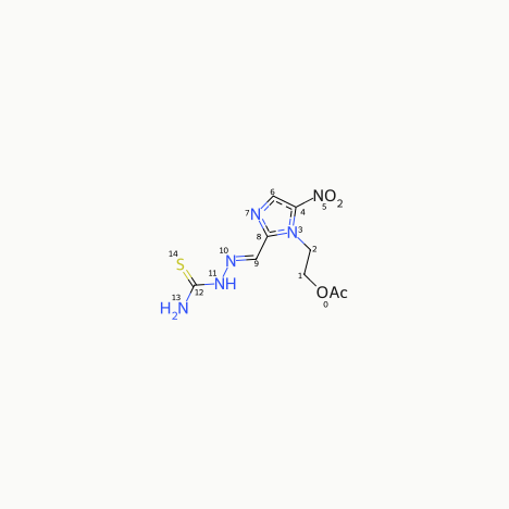 CC(=O)OCCn1c([N+](=O)[O-])cnc1C=NNC(N)=S